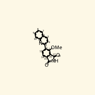 COc1c(-c2ccc3ccccc3n2)ccc2c1C(=O)NC2=O